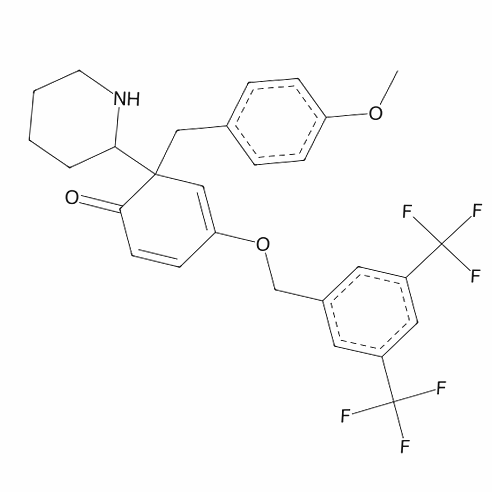 COc1ccc(CC2(C3CCCCN3)C=C(OCc3cc(C(F)(F)F)cc(C(F)(F)F)c3)C=CC2=O)cc1